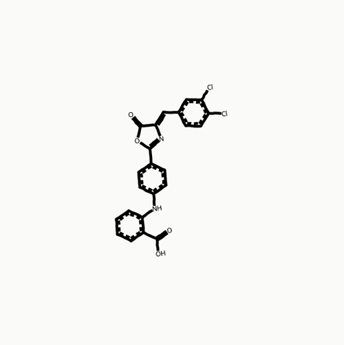 O=C1OC(c2ccc(Nc3ccccc3C(=O)O)cc2)=NC1=Cc1ccc(Cl)c(Cl)c1